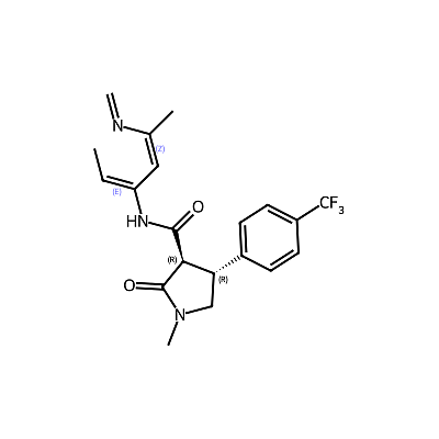 C=N/C(C)=C\C(=C/C)NC(=O)[C@@H]1C(=O)N(C)C[C@H]1c1ccc(C(F)(F)F)cc1